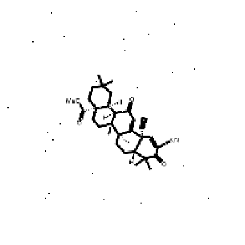 C#C[C@]12C=C(C#N)C(=O)C(C)(C)[C@@H]1CC[C@]1(C)C2=CC(=O)[C@@H]2[C@@H]3CC(C)(C)CC[C@]3(C(=O)OC)CC[C@]21C